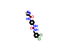 O=C(NCc1ccc(Cl)c(Cl)c1)Nc1ccc(NC(=O)c2csnn2)cc1